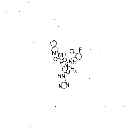 CN(C(=O)NCc1cccc(F)c1Cl)[C@@H](COC(=O)Nc1cc2ccccc2cn1)CC(=O)NCc1cnccn1